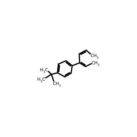 C/C=C\C(=C/C)c1ccc(C(C)(C)C)cc1